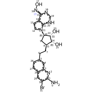 Nc1nc2cc(CC[C@H]3C[C@@H](n4ccc5/c(=N/O)nc[nH]c54)[C@H](O)[C@@H]3O)ccc2cc1Br